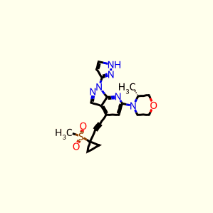 C[C@@H]1COCCN1c1cc(C#CC2(S(C)(=O)=O)CC2)c2cnn(-c3cc[nH]n3)c2n1